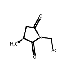 CC(=O)CN1C(=O)C[C@H](C)C1=O